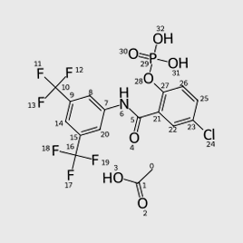 CC(=O)O.O=C(Nc1cc(C(F)(F)F)cc(C(F)(F)F)c1)c1cc(Cl)ccc1OP(=O)(O)O